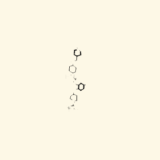 CC(C)(C)OC(=O)N1CCC(Oc2ccc(C(F)(F)F)cc2NC(=O)N[C@H]2CC[C@H](OCc3ccncc3)CC2)CC1